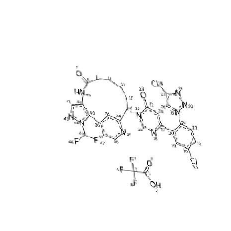 O=C(O)C(F)(F)F.O=C1CCCC[C@H](n2cnc(-c3cc(Cl)ccc3-n3cc(Cl)nn3)cc2=O)c2cc(ccn2)-c2c(cnn2C(F)F)N1